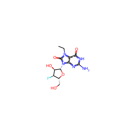 CCn1c(=O)n([C@@H]2O[C@H](CO)[C@@H](F)[C@H]2O)c2nc(N)[nH]c(=O)c21